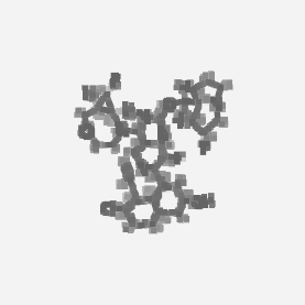 [2H]C([2H])(Oc1nc(N2CCOC[C@H]3[C@H](F)[C@H]32)c2cnc(-c3cc(O)cc4ccc(Cl)c(C#C)c34)c(F)c2n1)[C@@]12CCCN1C[C@H](F)C2